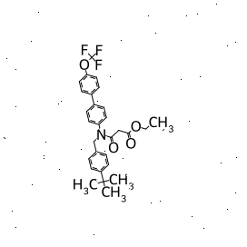 CCOC(=O)CC(=O)N(Cc1ccc(C(C)(C)C)cc1)c1ccc(-c2ccc(OC(F)(F)F)cc2)cc1